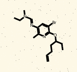 C=CCCC(CC)Oc1nc(C)c(/N=C/N(C)CC)cc1Br